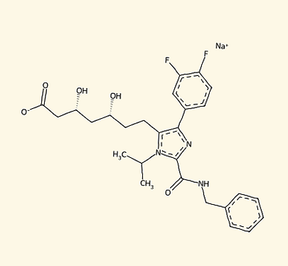 CC(C)n1c(C(=O)NCc2ccccc2)nc(-c2ccc(F)c(F)c2)c1CC[C@@H](O)C[C@@H](O)CC(=O)[O-].[Na+]